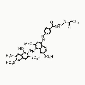 C=CC(=O)OCCNC(=O)c1ccc(/N=N/c2cc(OC)c(/N=N/c3c(S(=O)(=O)O)cc4cc(S(=O)(=O)O)c(N)cc4c3O)c3cc(S(=O)(=O)O)ccc23)cc1